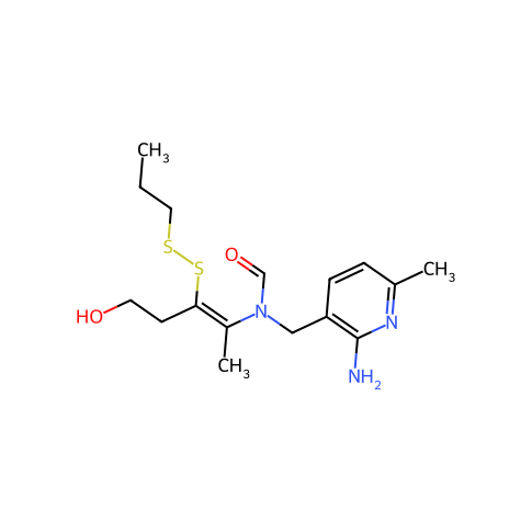 CCCSS/C(CCO)=C(/C)N(C=O)Cc1ccc(C)nc1N